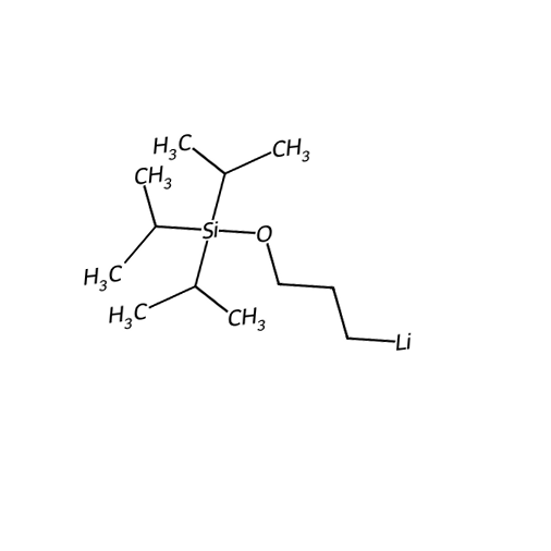 [Li][CH2]CCO[Si](C(C)C)(C(C)C)C(C)C